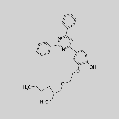 CCCCC(CC)COCCOc1cc(-c2nc(-c3ccccc3)nc(-c3ccccc3)n2)ccc1O